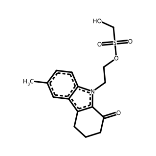 Cc1ccc2c(c1)c1c(n2CCOS(=O)(=O)CO)C(=O)CCC1